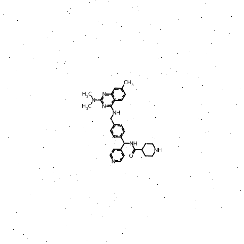 Cc1ccc2c(NCc3ccc(C(NC(=O)C4CCNCC4)c4ccncc4)cc3)nc(N(C)C)nc2c1